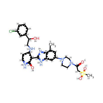 Cc1cc(N2CCN(C(=O)CS(C)(=O)=O)CC2)cc2[nH]c(-c3c(NCC(O)c4cccc(Cl)c4)cc[nH]c3=O)nc12